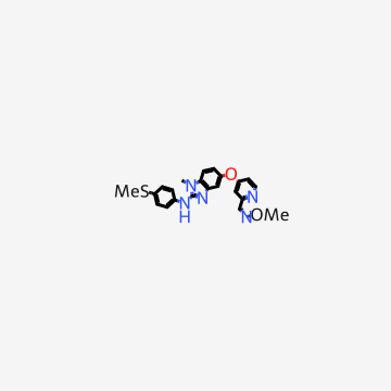 CO/N=C\c1cc(Oc2ccc3c(c2)nc(Nc2ccc(SC)cc2)n3C)ccn1